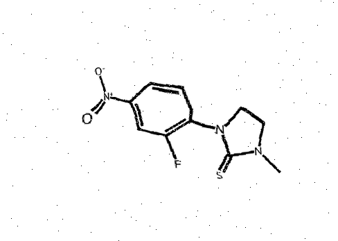 CN1CCN(c2ccc([N+](=O)[O-])cc2F)C1=S